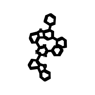 c1ccc(-c2cc(-c3ccccc3)c3sc4cccc(-c5nc(-c6ccccc6)nc(-c6cccc7c6oc6ccccc67)n5)c4c3c2)cc1